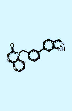 O=c1cnc2ncccc2n1Cc1cccc(-c2ccc3cn[nH]c3c2)c1